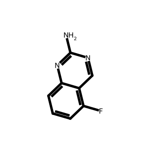 Nc1ncc2c(F)cccc2n1